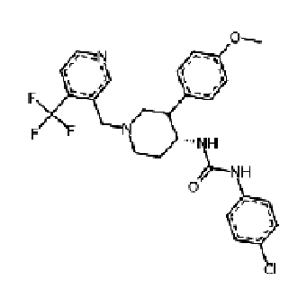 COc1ccc(C2CN(Cc3cnccc3C(F)(F)F)CC[C@H]2NC(=O)Nc2ccc(Cl)cc2)cc1